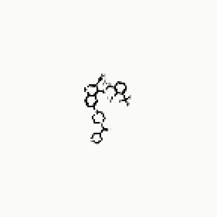 Cc1c([C@@H](C)Nc2c(C#N)cnc3ccc(N4CCN(C(=O)C5CCOC5)CC4)cc23)cccc1C(F)(F)F